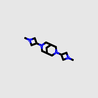 CN1CC(N2CC3CC(C2)CN(C2CN(C)C2)C3)C1